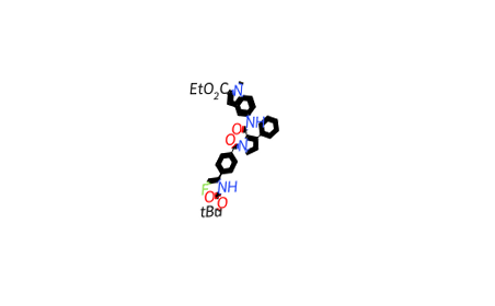 CCOC(=O)c1cc2cc(NC(=O)[C@@H]3[C@H](C4CCCCC4)CCN3C(=O)[C@H]3CC[C@H](C(CF)NC(=O)OC(C)(C)C)CC3)ccc2n1C